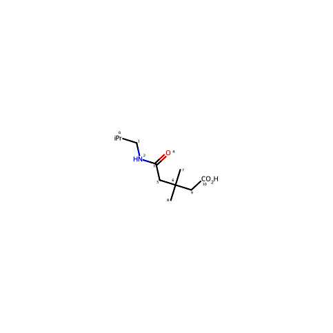 CC(C)CNC(=O)CC(C)(C)CC(=O)O